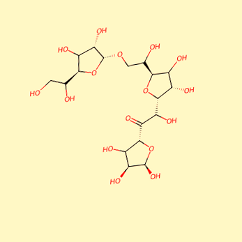 O=C(C(O)[C@@H]1O[C@@H](C(O)CO[C@@H]2O[C@@H](C(O)CO)C(O)[C@@H]2O)C(O)[C@@H]1O)[C@@H]1O[C@@H](O)[C@@H](O)C1O